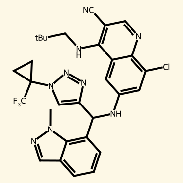 Cn1ncc2cccc(C(Nc3cc(Cl)c4ncc(C#N)c(NCC(C)(C)C)c4c3)c3cn(C4(C(F)(F)F)CC4)nn3)c21